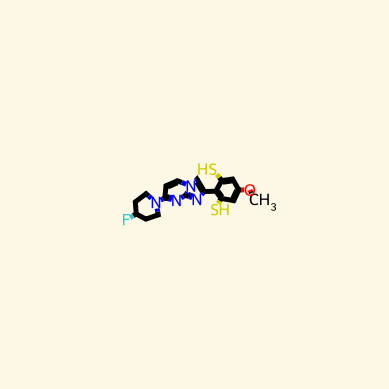 COc1cc(S)c(-c2cn3ccc(N4CCC(F)CC4)nc3n2)c(S)c1